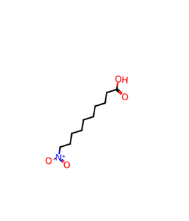 O=C(O)CCCCCCCCC[N+](=O)[O-]